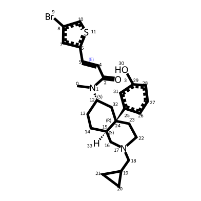 CN(C(=O)/C=C/c1cc(Br)cs1)[C@H]1CC[C@@H]2CN(CC3CC3)CC[C@@]2(c2cccc(O)c2)C1